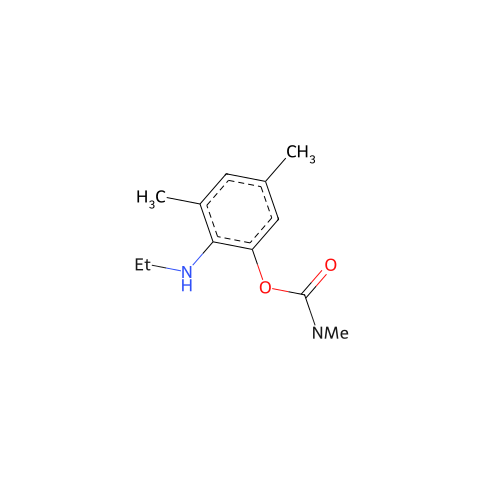 CCNc1c(C)cc(C)cc1OC(=O)NC